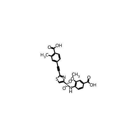 COc1cc(C(=O)O)ccc1NS(=O)(=O)c1csc(C#Cc2ccc(C(=O)O)c(C)c2)n1